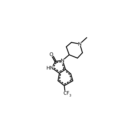 CN1CCC(n2c(=O)[nH]c3cc(C(F)(F)F)ccc32)CC1